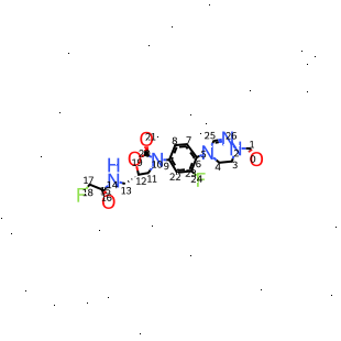 O=CN1CCN(c2ccc(N3C[C@H](CNC(=O)CF)OC3=O)cc2F)C=N1